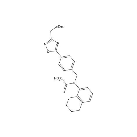 CCCCCCCCCCCc1noc(-c2ccc(CN(C(=O)C(=O)O)c3cccc4c3CCCC4)cc2)n1